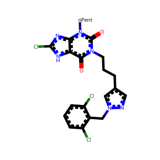 CCCCCn1c(=O)n(CCCc2cnn(Cc3c(Cl)cccc3Cl)c2)c(=O)c2[nH]c(Cl)nc21